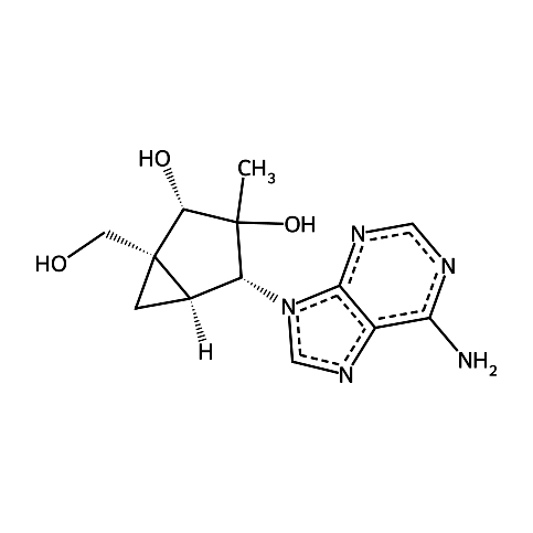 CC1(O)[C@@H](O)[C@]2(CO)C[C@@H]2[C@H]1n1cnc2c(N)ncnc21